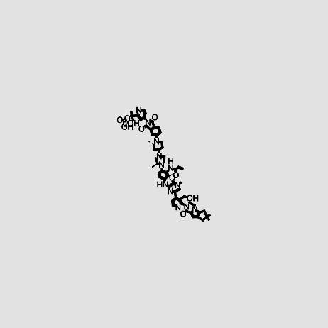 C=CC(=O)Nc1cc(Nc2nc(-c3ccnc(N4CCn5c(cc6c5CC(C)(C)C6)C4=O)c3CO)cn(C)c2=O)ccc1N1CCN(C2CCN(c3ccc4c(c3)C(=O)N(c3ccnc(C(C)(C)OP(=O)(O)O)c3)C4=O)[C@@H](C)C2)C[C@@H]1C